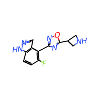 Fc1ccc2[nH]ncc2c1-c1noc(C2CNC2)n1